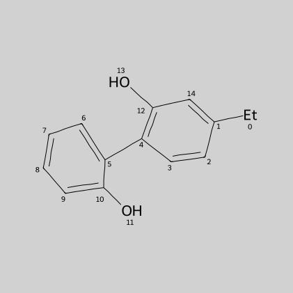 CCc1ccc(-c2ccccc2O)c(O)c1